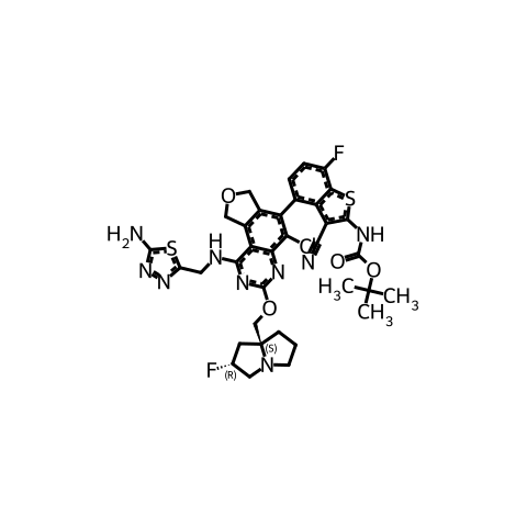 CC(C)(C)OC(=O)Nc1sc2c(F)ccc(-c3c4c(c5c(NCc6nnc(N)s6)nc(OC[C@@]67CCCN6C[C@H](F)C7)nc5c3Cl)COC4)c2c1C#N